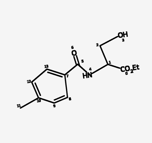 CCOC(=O)C(CO)NC(=O)c1ccc(C)cc1